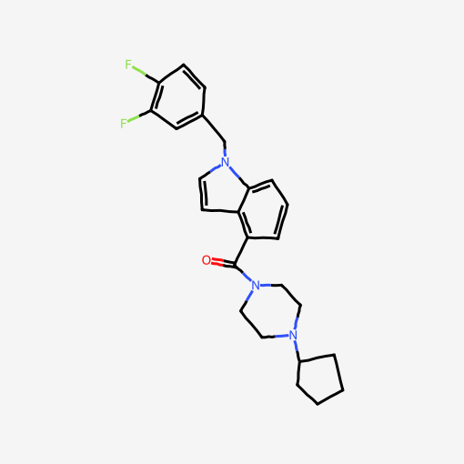 O=C(c1cccc2c1ccn2Cc1ccc(F)c(F)c1)N1CCN(C2CCCC2)CC1